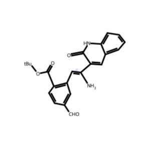 CC(C)(C)OC(=O)c1ccc(C=O)cc1/C=C(\N)c1cc2ccccc2[nH]c1=O